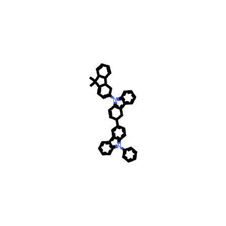 CC1(C)C2=CC=C(n3c4c(c5ccccc53)CC(c3ccc5c(c3)c3ccccc3n5-c3ccccc3)C=C4)CC2C2C=CC=CC21